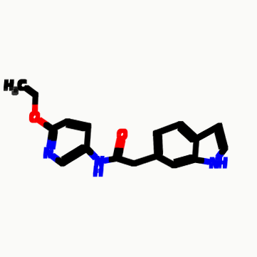 CCOc1ccc(NC(=O)Cc2ccc3cc[nH]c3c2)cn1